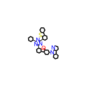 c1ccc(-c2nc(-c3cccc4c3oc3cc(-n5c6ccccc6c6cccnc65)ccc34)nc(-c3cccc4c3sc3ccccc34)n2)cc1